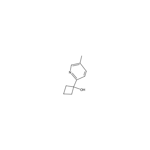 Cc1ccc(C2(O)CCC2)nc1